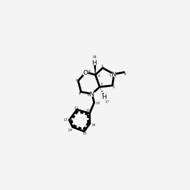 CN1C[C@@H]2[C@@H](C1)OCCN2Cc1ccccc1